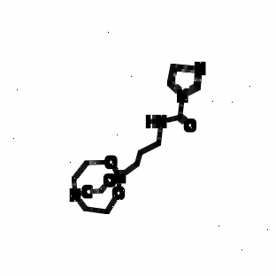 O=C(NCCC[Si]12OCCN(CCO1)CCO2)n1ccnc1